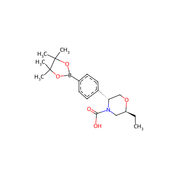 CC[C@H]1CN(C(=O)O)[C@H](c2ccc(B3OC(C)(C)C(C)(C)O3)cc2)CO1